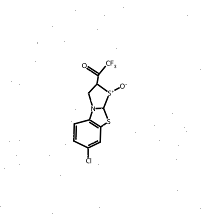 O=C(C1CN2c3ccc(Cl)cc3SC2[S+]1[O-])C(F)(F)F